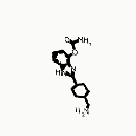 NCC1CCC(c2nc3c(OC(N)=O)cccc3[nH]2)CC1